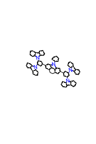 c1ccc(-n2c3cc(-c4cc(-n5c6ccccc6c6ccccc65)cc(-n5c6ccccc6c6ccccc65)c4)cc4c3c3c(cc(-c5cc(-n6c7ccccc7c7ccccc76)cc(-n6c7ccccc7c7ccccc76)c5)cc32)CC4)cc1